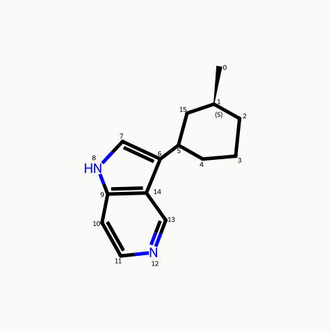 C[C@H]1CCCC(c2c[nH]c3ccncc23)C1